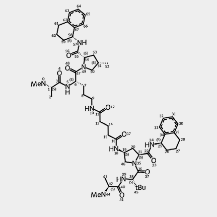 CN[C@@H](C)C(=O)N[C@@H](CCCNC(=O)CCCC(=O)N[C@H]1C[C@@H](C(=O)N[C@@H]2CCCc3ccccc32)N(C(=O)[C@@H](NC(=O)[C@H](C)NC)C(C)(C)C)C1)C(=O)N1C[C@@H](C)C[C@H]1C(=O)N[C@@H]1CCCc2ccccc21